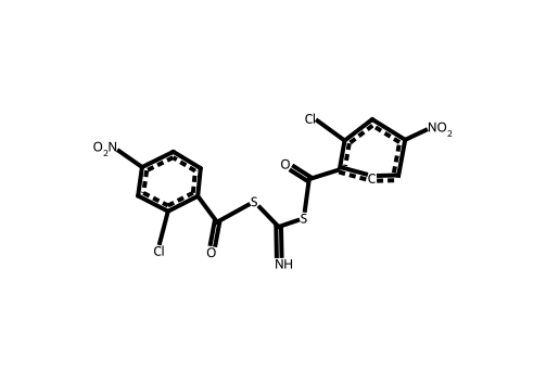 N=C(SC(=O)c1ccc([N+](=O)[O-])cc1Cl)SC(=O)c1ccc([N+](=O)[O-])cc1Cl